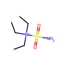 CC[N+](CC)(CC)S(N)(=O)=O